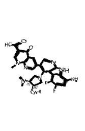 CNc1cc(F)c(F)c2c1[nH]c1ncc(-c3cnc4c(c3)c(=O)c(C(=O)O)cn4C)c(N3C[C@@H](O)[C@@H](N(C)C)C3)c12